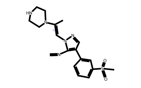 C=Nc1c(-c2cccc(S(C)(=O)=O)c2)cnn1/C=C(\C)N1CCNCC1